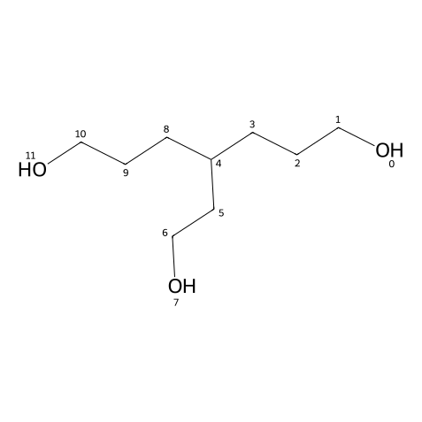 OCCCC(CCO)CCCO